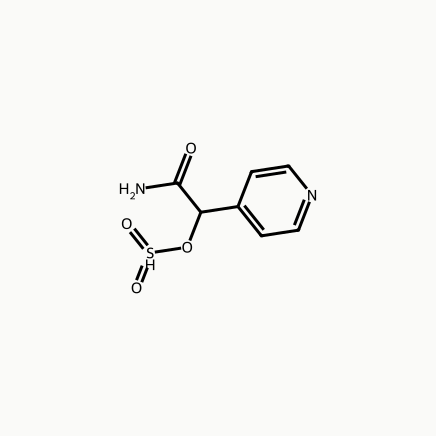 NC(=O)C(O[SH](=O)=O)c1ccncc1